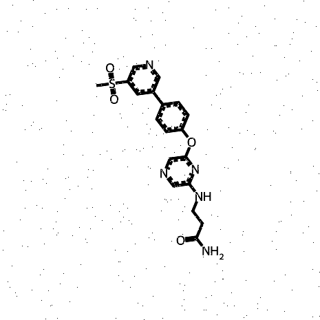 CS(=O)(=O)c1cncc(-c2ccc(Oc3cncc(NCCC(N)=O)n3)cc2)c1